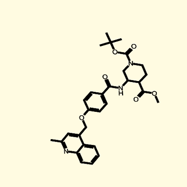 COC(=O)C1CCN(C(=O)OC(C)(C)C)CC1NC(=O)c1ccc(OCc2cc(C)nc3ccccc23)cc1